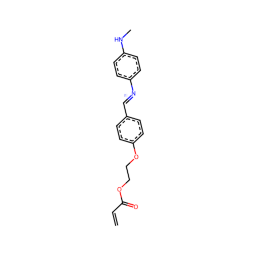 C=CC(=O)OCCOc1ccc(/C=N/c2ccc(NC)cc2)cc1